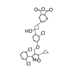 O=C1OC(=O)c2cc(C3CC(O)(c4ccc(OCc5c(-c6c(Cl)cccc6Cl)noc5C5CC5)cc4Cl)C3)ccc21